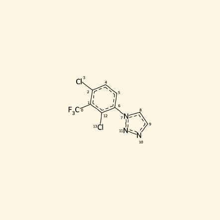 FC(F)(F)c1c(Cl)ccc(-n2ccnn2)c1Cl